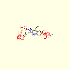 CCc1c2c(nc3ccc(OC(=O)OC(C)(C)C)cc13)C1=CC3=C(COC(=O)C3(O)CC)C(O)N1C2